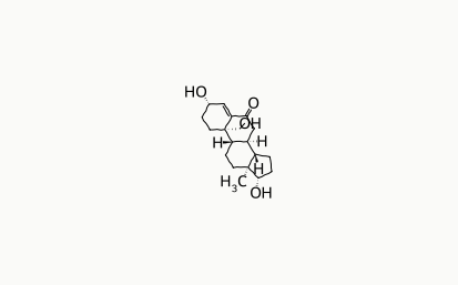 C[C@]12CC[C@H]3[C@@H](CC(=O)C4=C[C@@H](O)CC[C@@]43CO)[C@@H]1CC[C@@H]2O